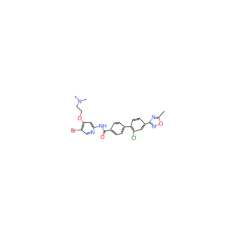 Cc1nc(-c2ccc(-c3ccc(C(=O)Nc4cc(OCCN(C)C)c(Br)cn4)cc3)c(Cl)c2)no1